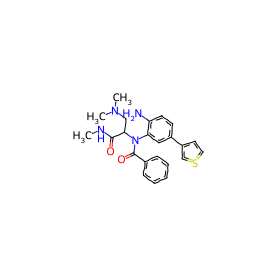 CNC(=O)C(CN(C)C)N(C(=O)c1ccccc1)c1cc(-c2ccsc2)ccc1N